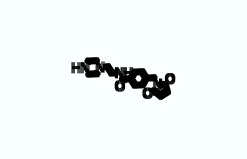 O=C(NCCN1CCNCC1)C1CCC(CN2C(=O)C=CC2=O)CC1